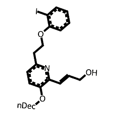 CCCCCCCCCCOc1ccc(CCOc2ccccc2I)nc1C=CCO